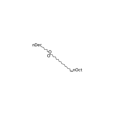 CCCCCCCC/C=C\CCCCCCCCCCCCCC(=O)OCCCCCCCCCCCCCCC